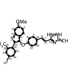 COc1ccc2c(Oc3ccc(/C=C/C4=NN(C)NN4)cc3)c(-c3ccc(I)cc3C)sc2c1